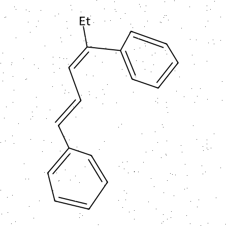 CCC(=CC=Cc1ccccc1)c1ccccc1